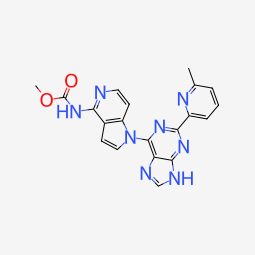 COC(=O)Nc1nccc2c1ccn2-c1nc(-c2cccc(C)n2)nc2[nH]cnc12